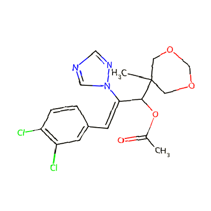 CC(=O)OC(/C(=C/c1ccc(Cl)c(Cl)c1)n1cncn1)C1(C)COCOC1